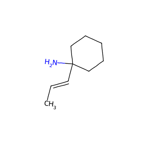 C/C=C/C1(N)CCCCC1